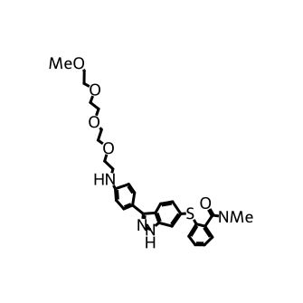 CNC(=O)c1ccccc1Sc1ccc2c(-c3ccc(NCCOCCOCCOCCOC)cc3)n[nH]c2c1